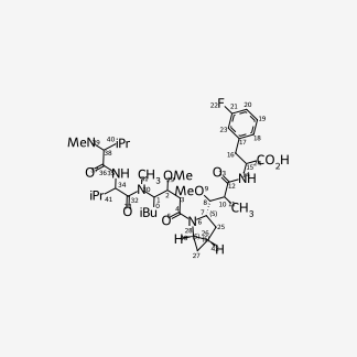 CCC(C)C(C(CC(=O)N1[C@H](C(OC)C(C)C(=O)NC(Cc2cccc(F)c2)C(=O)O)C[C@@H]2C[C@@H]21)OC)N(C)C(=O)C(NC(=O)C(NC)C(C)C)C(C)C